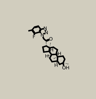 Cc1ccc2nnn(CC(=O)[C@H]3CC[C@H]4[C@@H]5CC[C@@H]6C[C@](C)(O)CC[C@]6(C)[C@H]5CC[C@]34C)c2c1F